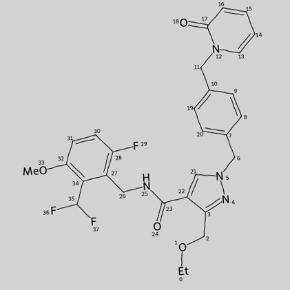 CCOCc1nn(Cc2ccc(Cn3ccccc3=O)cc2)cc1C(=O)NCc1c(F)ccc(OC)c1C(F)F